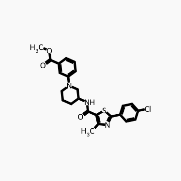 COC(=O)c1cccc(N2CCCC(NC(=O)c3sc(-c4ccc(Cl)cc4)nc3C)C2)c1